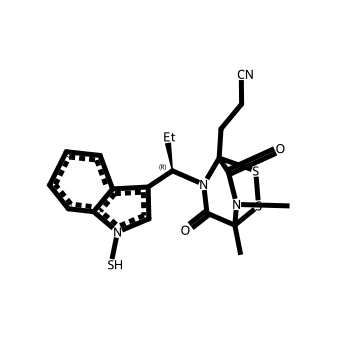 CC[C@H](c1cn(S)c2ccccc12)N1C(=O)C2(C)SSC1(CCC#N)C(=O)N2C